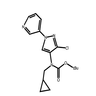 CC(C)(C)OC(=O)N(CC1CC1)c1cn(-c2cccnc2)nc1Cl